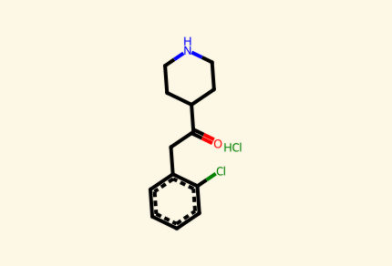 Cl.O=C(Cc1ccccc1Cl)C1CCNCC1